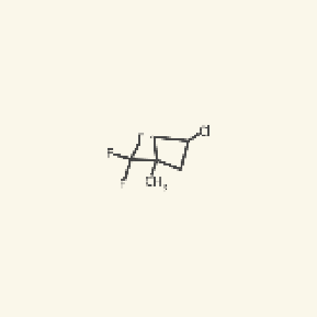 CC1(C(F)(F)F)[CH]C(Cl)C1